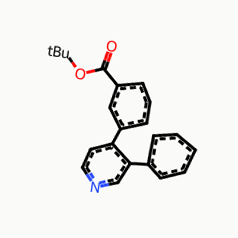 CC(C)(C)OC(=O)c1cccc(-c2ccncc2-c2ccccc2)c1